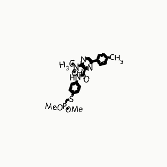 COP(CSc1ccc(NC(=O)c2nc(-c3ccc(C)cc3)cnc2N(C)C)cc1)OC